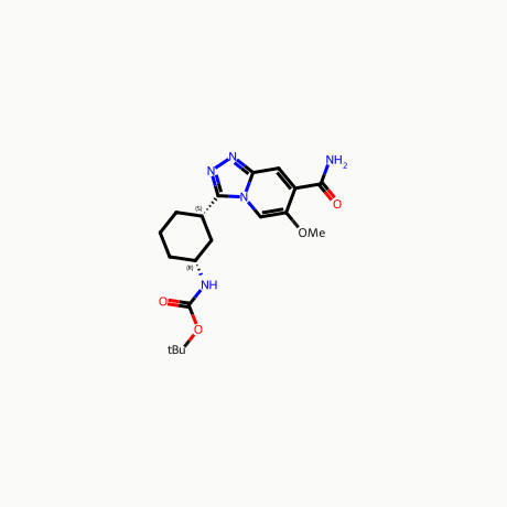 COc1cn2c([C@H]3CCC[C@@H](NC(=O)OC(C)(C)C)C3)nnc2cc1C(N)=O